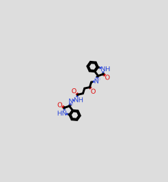 O=C(CCC(=O)N/N=C1/C(=O)Nc2ccccc21)C/N=C1/C(=O)Nc2ccccc21